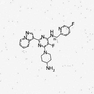 C[C@H](Nc1nc(-c2cnn3ccccc23)nc(N2CCC(N)CC2)c1F)c1ccc(F)cn1